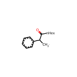 [CH2]C(C(=O)CCCCCC)c1ccccc1